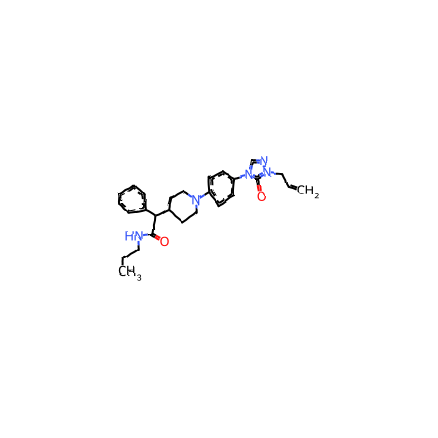 C=CCn1ncn(-c2ccc(N3CCC(C(C(=O)NCCC)c4ccccc4)CC3)cc2)c1=O